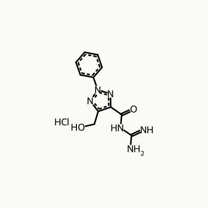 Cl.N=C(N)NC(=O)c1nn(-c2ccccc2)nc1CO